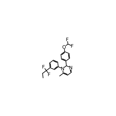 CCC(F)(F)c1cccc(N2C(C)=CC=NC2c2ccc(OC(F)F)cc2)c1